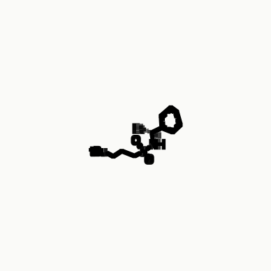 CC[C@@H](NS(=O)(=O)CCCC(C)(C)C)c1ccccc1